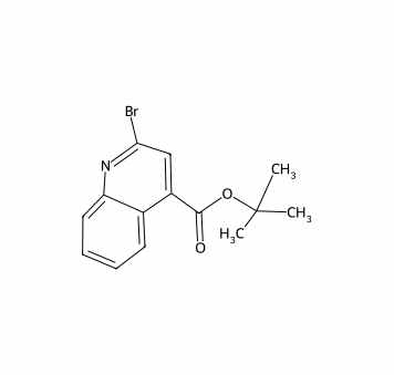 CC(C)(C)OC(=O)c1cc(Br)nc2ccccc12